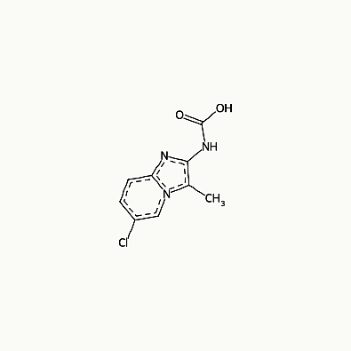 Cc1c(NC(=O)O)nc2ccc(Cl)cn12